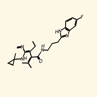 C=N/C(NC1(C)CC1)=C(\CC)C(C(=O)NCCCc1nc2cc(F)ccc2[nH]1)=C(C)C